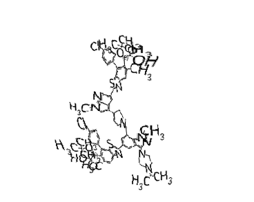 Cc1cc2nc(-c3cnc4c(c3)c(C3=CCN(Cc5cc(-c6nc7cc(C)c([C@H](OC(C)(C)C)C(=O)O)c(-c8ccc(Cl)cc8)c7s6)cc6c(N7CCN(C(C)C)CC7)nn(C)c56)CC3)cn4C)sc2c(-c2ccc(Cl)cc2)c1[C@H](OC(C)(C)C)C(=O)O